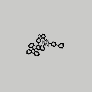 c1ccc(-c2ccc(-c3nc(-c4ccccc4)nc(-c4cccc5oc6ccc(-c7cccc8c7-c7ccccc7C87c8ccccc8-c8ccccc87)cc6c45)n3)cc2)cc1